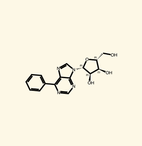 OC[C@H]1O[C@@H](n2cnc3c(-c4ccccc4)ncnc32)[C@H](O)[C@@H]1O